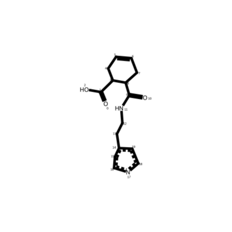 O=C(O)C1CC=CCC1C(=O)NCCc1ccncc1